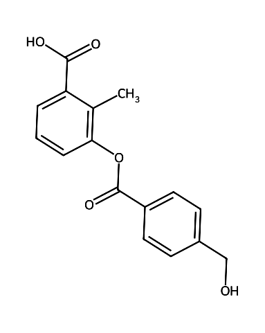 Cc1c(OC(=O)c2ccc(CO)cc2)cccc1C(=O)O